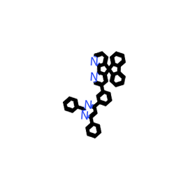 c1ccc(-c2cc(-c3cccc(-c4cnc5c(c4)C4(c6ccccc6-c6ccccc64)c4cccnc4-5)c3)nc(-c3ccccc3)n2)cc1